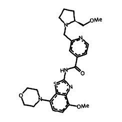 COC[C@@H]1CCCN1Cc1cc(C(=O)Nc2nc3c(OC)ccc(N4CCOCC4)c3s2)ccn1